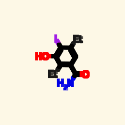 CCc1cc(C(N)=O)c(CC)c(O)c1I